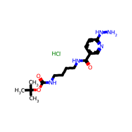 CC(C)(C)OC(=O)NCCCCNC(=O)c1ccc(NN)nc1.Cl